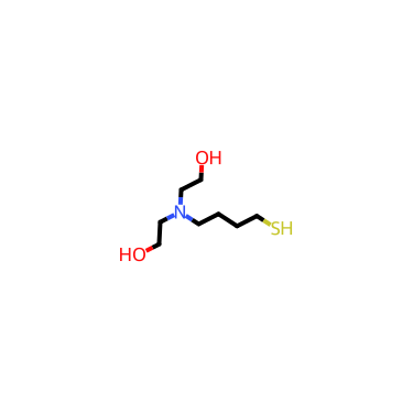 OCCN(CCO)CCCCS